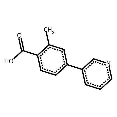 Cc1cc(-c2cccnc2)ccc1C(=O)O